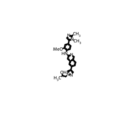 COc1cc(-c2cnc(C)n2C)ccc1Nc1cc2cc(-c3cnn(C[C@@H](C)O)c3)ccc2cn1